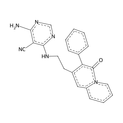 N#Cc1c(N)ncnc1NCCc1cc2ccccn2c(=O)c1-c1ccccc1